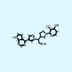 N#CCC(C1CCN(c2nccc(C#N)c2Cl)C1)n1cc(-c2ncnc3[nH]ccc23)cn1